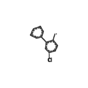 [CH2]c1ccc(Cl)cc1-c1ccccc1